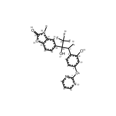 CC(c1ccc(Oc2ncccn2)cc1Cl)C(O)(c1ccc2oc(=O)n(C)c2c1)C(F)(F)F